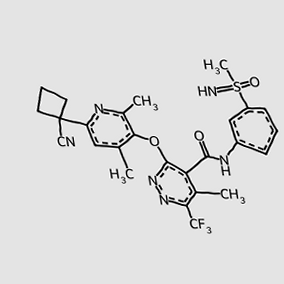 Cc1cc(C2(C#N)CCC2)nc(C)c1Oc1nnc(C(F)(F)F)c(C)c1C(=O)Nc1cccc(S(C)(=N)=O)c1